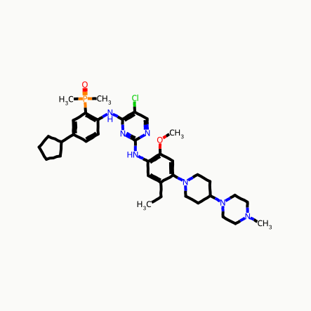 CCc1cc(Nc2ncc(Cl)c(Nc3ccc(C4CCCC4)cc3P(C)(C)=O)n2)c(OC)cc1N1CCC(N2CCN(C)CC2)CC1